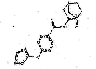 O=C(NC1CN2CC[C@H]1C2)c1ccc(Sc2cncs2)cc1